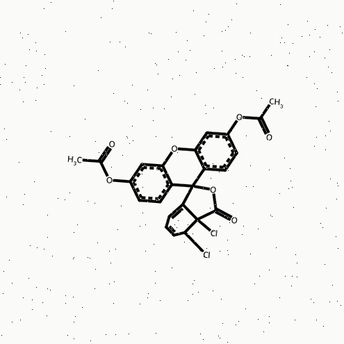 CC(=O)Oc1ccc2c(c1)Oc1cc(OC(C)=O)ccc1C21OC(=O)C2(Cl)C1=CC=CC2Cl